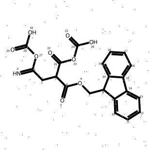 N=C(CC(C(=O)OCC1c2ccccc2-c2ccccc21)C(=O)OC(=O)O)OC(=O)O